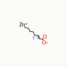 COC(=O)/C=C/CCCC[CH2][Zn+].[I-]